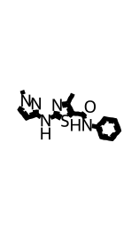 Cc1nc(Nc2ccn(C)n2)sc1C(=O)Nc1ccccc1